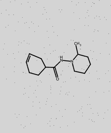 CC1CCCCN1NC(=O)C1CC=CCC1